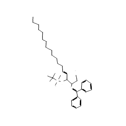 CCCCCCCCCCCCCC=CC(O[Si](C)(C)C(C)(C)C)C(CS)N=C(c1ccccc1)c1ccccc1